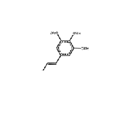 [CH2]/C=C/c1cc(OC)c(OC)c(OC)c1